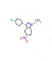 CCn1cc(-c2ccc(F)cc2)c2cc([N+](=O)[O-])ccc21